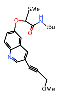 COCC#Cc1cnc2ccc(OC(SC)C(=O)NC(C)(C)C)cc2c1